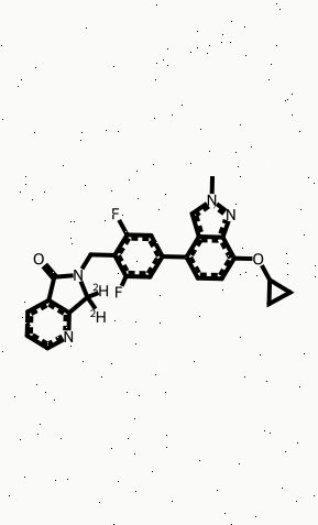 [2H]C1([2H])c2ncccc2C(=O)N1Cc1c(F)cc(-c2ccc(OC3CC3)c3nn(C)cc23)cc1F